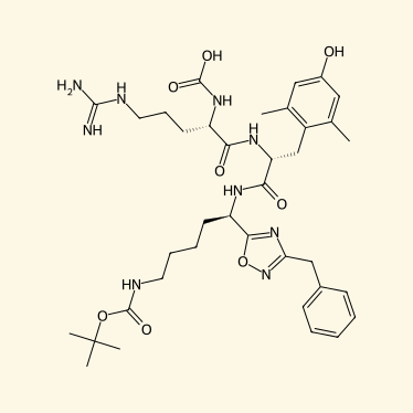 Cc1cc(O)cc(C)c1C[C@@H](NC(=O)[C@H](CCCNC(=N)N)NC(=O)O)C(=O)N[C@H](CCCCNC(=O)OC(C)(C)C)c1nc(Cc2ccccc2)no1